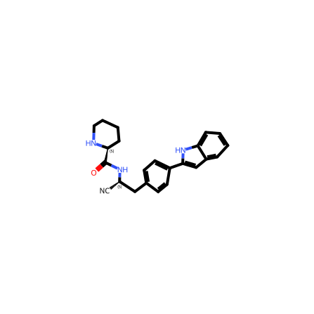 N#C[C@H](Cc1ccc(-c2cc3ccccc3[nH]2)cc1)NC(=O)[C@@H]1CCCCN1